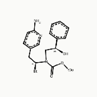 CC[C@@H](Cc1ccc(N)nc1)N(C[C@H](O)c1ccccc1)C(=O)OC(C)(C)C